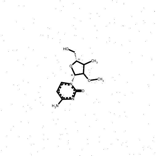 COC1C(C)[C@@H](CO)O[C@H]1n1ccc(N)nc1=O